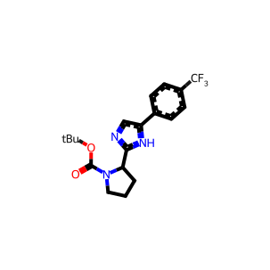 CC(C)(C)OC(=O)N1CCCC1c1ncc(-c2ccc(C(F)(F)F)cc2)[nH]1